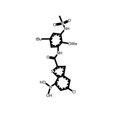 COc1c(NC(=O)c2cc3cc(Cl)cc(N(O)O)c3s2)cc(C(C)(C)C)cc1NS(C)(=O)=O